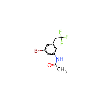 CC(=O)Nc1cc(Br)cc(CC(F)(F)F)c1